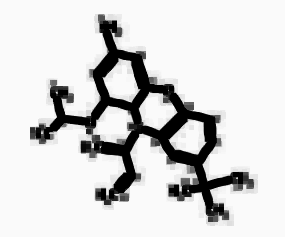 BC1=CC(OC(C)C)C2B(C(=C)C=C)c3cc(C(C)(C)C)ccc3OC2=C1